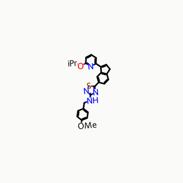 COc1ccc(CNc2nsc(-c3ccc4c(c3)C(c3cccc(OC(C)C)n3)=CC4)n2)cc1